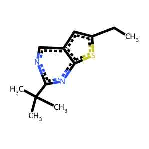 CCc1cc2cnc(C(C)(C)C)nc2s1